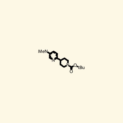 CNc1ccc(C2CCN(C(=O)OC(C)(C)C)CC2)nc1